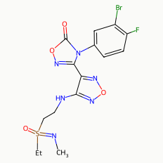 CCS(=O)(CCNc1nonc1-c1noc(=O)n1-c1ccc(F)c(Br)c1)=NC